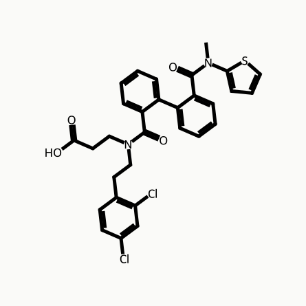 CN(C(=O)c1ccccc1-c1ccccc1C(=O)N(CCC(=O)O)CCc1ccc(Cl)cc1Cl)c1cccs1